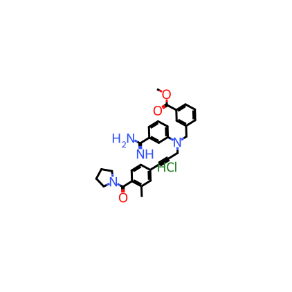 COC(=O)c1cccc(CN(CC#Cc2ccc(C(=O)N3CCCC3)c(C)c2)c2cccc(C(=N)N)c2)c1.Cl